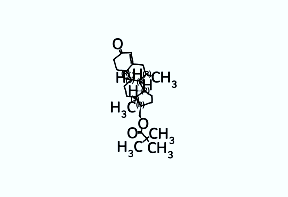 C[C@@H]1CC2=CC(=O)CC[C@@H]2[C@H]2CC[C@]3(C)[C@H](COC(=O)C(C)(C)C)CC[C@@H]3[C@@H]21